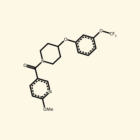 COc1ccc(C(=O)N2CCC(Oc3cccc(OC(F)(F)F)c3)CC2)cn1